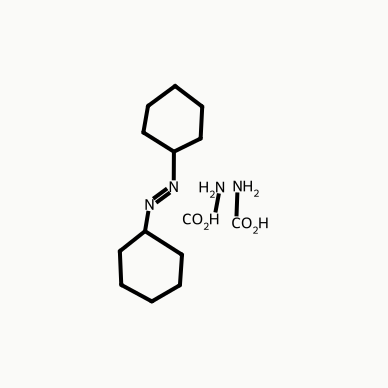 C1CCC(N=NC2CCCCC2)CC1.NC(=O)O.NC(=O)O